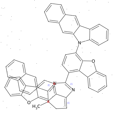 CC1C/C=C(c2ccc3c(c2)oc2ccccc23)/N=C(c2ccc(-n3c4ccccc4c4cc5ccccc5cc43)c3oc4ccccc4c23)\N=C/1c1ccc2ccccc2c1